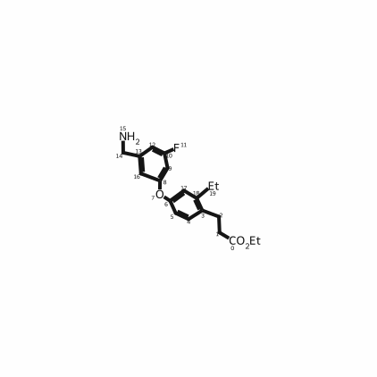 CCOC(=O)CCc1ccc(Oc2cc(F)cc(CN)c2)cc1CC